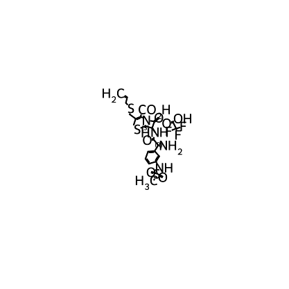 C=CCSCC1=C(C(=O)O)N2C(=O)C(NC(=O)[C@H](N)c3cccc(NS(C)(=O)=O)c3)[C@@H]2SC1.O=C(O)C(F)(F)F